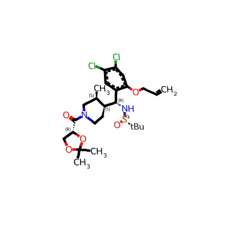 C=CCOc1cc(Cl)c(Cl)cc1[C@H](N[S@@+]([O-])C(C)(C)C)[C@H]1CCN(C(=O)[C@H]2COC(C)(C)O2)C[C@H]1C